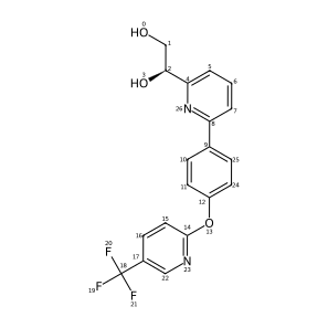 OC[C@H](O)c1cccc(-c2ccc(Oc3ccc(C(F)(F)F)cn3)cc2)n1